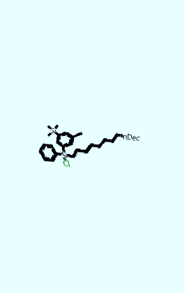 CCCCCCCCCCCCCCCCCC[Si](Cl)(c1ccccc1)c1cc(C)cc([Si](C)(C)C)c1